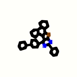 c1ccc(-c2ccc(-c3nc(-c4ccccc4)nc4sc5c6ccccc6c6ccccc6c5c34)cc2)cc1